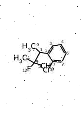 CC(c1ccccc1Cl)C(C)(C)F